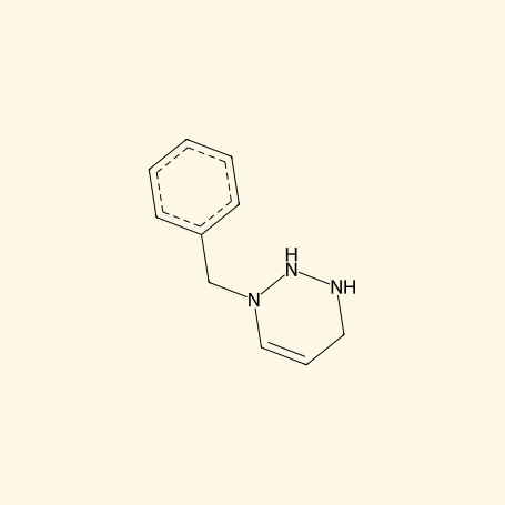 C1=CN(Cc2ccccc2)NNC1